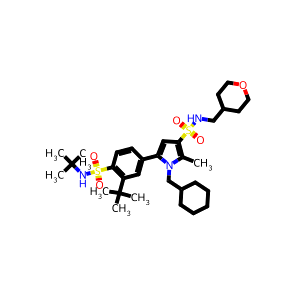 Cc1c(S(=O)(=O)NCC2CCOCC2)cc(-c2ccc(S(=O)(=O)NC(C)(C)C)c(C(C)(C)C)c2)n1CC1CCCCC1